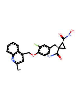 CCCc1cc(COc2ccc(C[C@]3(C(N)=O)C[C@@H]3C(=O)NO)cc2F)c2ccccc2n1